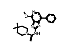 C=C(Nc1nc2c(OC)ncc(-c3ccccc3)c2s1)N1CCC(C)(C)CC1